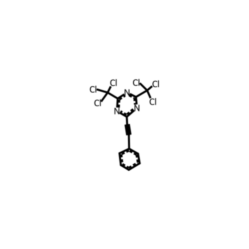 ClC(Cl)(Cl)c1nc(C#Cc2ccccc2)nc(C(Cl)(Cl)Cl)n1